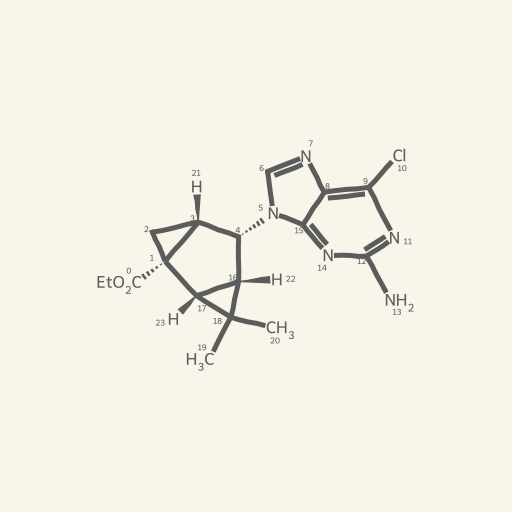 CCOC(=O)[C@]12C[C@@H]1[C@H](n1cnc3c(Cl)nc(N)nc31)[C@H]1[C@@H]2C1(C)C